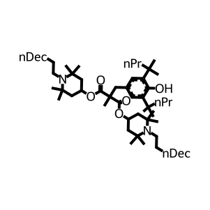 CCCCCCCCCCCCN1C(C)(C)CC(OC(=O)C(C)(Cc2cc(C(C)(C)CCC)c(O)c(C(C)(C)CCC)c2)C(=O)OC2CC(C)(C)N(CCCCCCCCCCCC)C(C)(C)C2)CC1(C)C